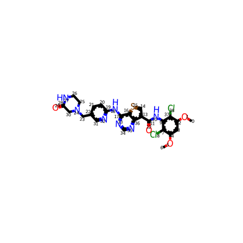 COc1cc(OC)c(Cl)c(NC(=O)c2csc3c(Nc4ccc(CN5CCNC(=O)C5)cn4)ncnc23)c1Cl